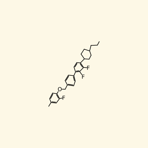 CCCC1CCC(c2ccc(-c3ccc(COc4ccc(C)cc4F)cc3)c(F)c2F)CC1